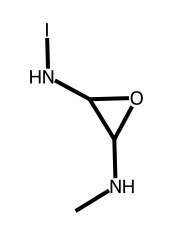 CNC1OC1NI